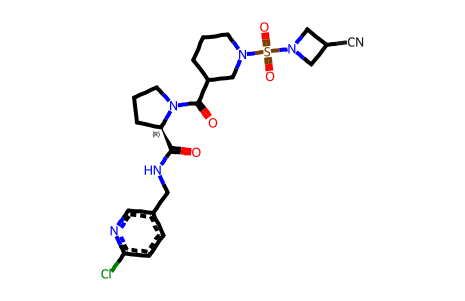 N#CC1CN(S(=O)(=O)N2CCCC(C(=O)N3CCC[C@@H]3C(=O)NCc3ccc(Cl)nc3)C2)C1